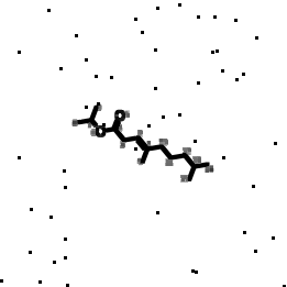 C/C(=C\CC(=O)OC(C)C)CCCC(C)C